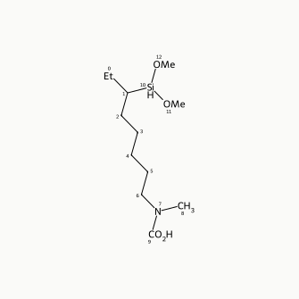 CCC(CCCCCN(C)C(=O)O)[SiH](OC)OC